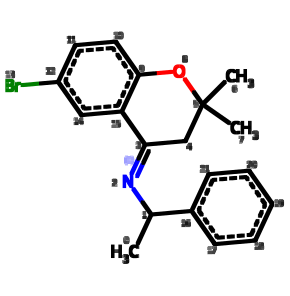 CC(/N=C1\CC(C)(C)Oc2ccc(Br)cc21)c1ccccc1